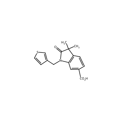 CC1(C)C(=O)N(Cc2ccsc2)c2cc(C(=O)O)ccc21